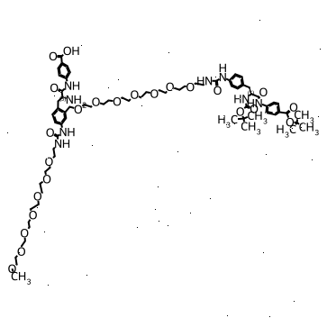 COCCOCCOCCOCCOCCOCCOCCNC(=O)Nc1ccc(C[C@H](N)C(=O)Nc2ccc(C(=O)O)cc2)c(COCCOCCOCCOCCOCCOCCOCCNC(=O)Nc2ccc(C[C@H](NC(=O)OC(C)(C)C)C(=O)Nc3ccc(C(=O)OC(C)(C)C)cc3)cc2)c1